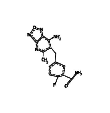 Cc1nc2nonc2c(N)c1Cc1ccc(F)c(C(N)=O)c1